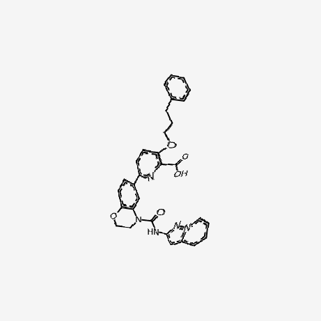 O=C(O)c1nc(-c2ccc3c(c2)N(C(=O)Nc2cc4ccccn4n2)CCO3)ccc1OCCCc1ccccc1